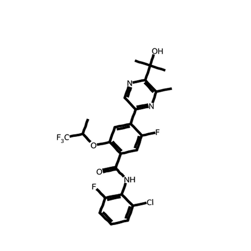 Cc1nc(-c2cc(OC(C)C(F)(F)F)c(C(=O)Nc3c(F)cccc3Cl)cc2F)cnc1C(C)(C)O